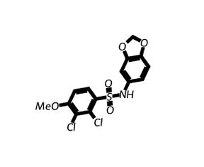 COc1ccc(S(=O)(=O)Nc2ccc3c(c2)OCO3)c(Cl)c1Cl